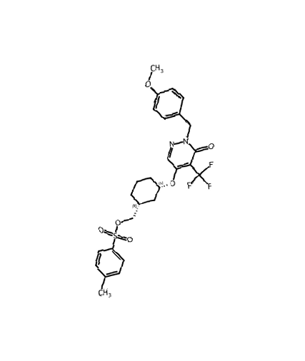 COc1ccc(Cn2ncc(O[C@H]3CCC[C@@H](COS(=O)(=O)c4ccc(C)cc4)C3)c(C(F)(F)F)c2=O)cc1